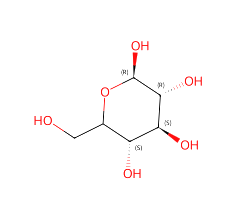 OCC1O[C@@H](O)[C@H](O)[C@@H](O)[C@@H]1O